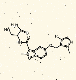 Cc1oc2ccc(OCc3c(F)cnn3C)cc2c1C(=O)N[C@@H](CO)C(N)=O